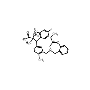 CC[C@@H]1CN(Cc2cc(C(c3ccc(F)cc3C)C(C)(C)C(=O)O)ccc2C)Cc2ccccc2O1